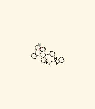 Cc1nc2ccccc2n1-c1cccc(-c2c3ccccc3c(-c3ccccc3-c3ccncc3)c3ccccc23)c1